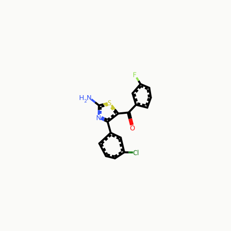 Nc1nc(-c2cccc(Cl)c2)c(C(=O)c2cccc(F)c2)s1